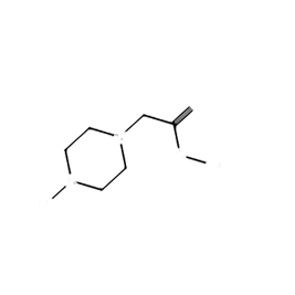 CCN1CCN(CC(=O)OC(C)(C)C)CC1